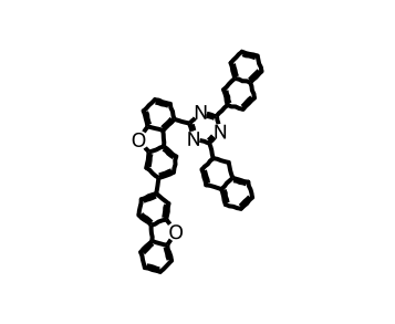 C1=CC(c2nc(-c3ccc4ccccc4c3)nc(-c3cccc4oc5cc(-c6ccc7c(c6)oc6ccccc67)ccc5c34)n2)Cc2ccccc21